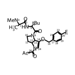 CNC(C)C(=O)NC(C(=O)N1CCC2C1C(OCc1ccc(F)cc1)=CN2C(=O)C(C)=O)C(C)(C)C